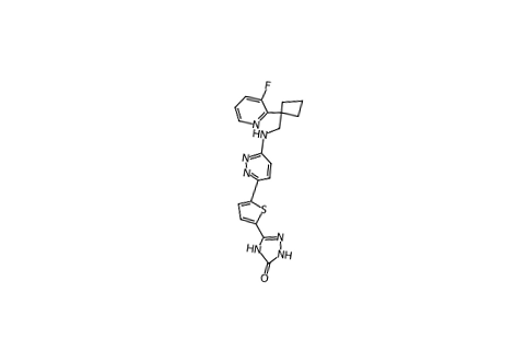 O=c1[nH]nc(-c2ccc(-c3ccc(NCC4(c5ncccc5F)CCC4)nn3)s2)[nH]1